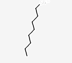 CCCCCCC[CH2][Sn+3]